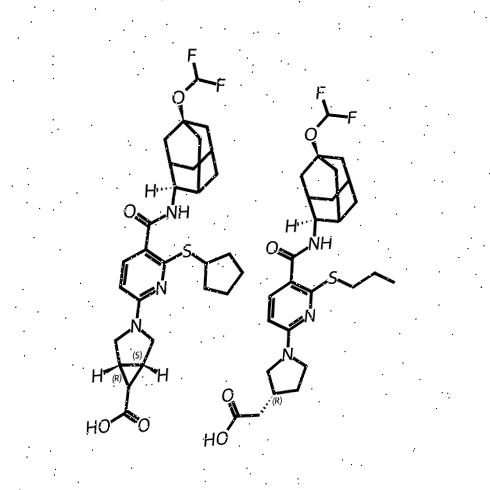 CCCSc1nc(N2CC[C@H](CC(=O)O)C2)ccc1C(=O)N[C@H]1C2CC3CC1C[C@@](OC(F)F)(C3)C2.O=C(N[C@H]1C2CC3CC1C[C@@](OC(F)F)(C3)C2)c1ccc(N2C[C@@H]3C(C(=O)O)[C@@H]3C2)nc1SC1CCCC1